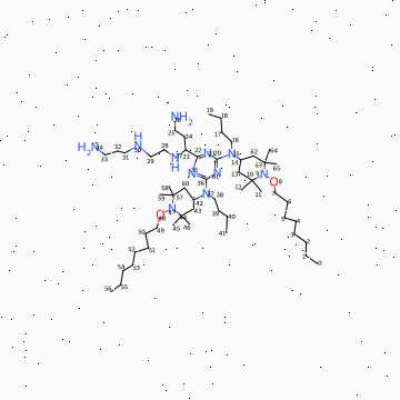 CCCCCCCCON1C(C)(C)CC(N(CCCC)c2nc(C(CCN)NCCNCCCN)nc(N(CCCC)C3CC(C)(C)N(OCCCCCCCC)C(C)(C)C3)n2)CC1(C)C